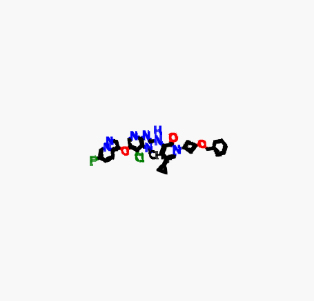 Cn1c(Nc2cc(C3CC3)cn([C@H]3C[C@H](OCc4ccccc4)C3)c2=O)nc2ncc(Oc3cnn4cc(F)ccc34)c(Cl)c21